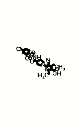 CCc1nc(N2CCC(C(=O)NS(=O)(=O)c3ccc(Cl)cc3Cl)CC2)c(C#N)c(CC)c1C(=O)O